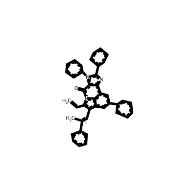 C=Cc1c(/C=C(\C)c2ccccc2)c2cc(-c3ccccc3)cc3c4nc(-c5ccccc5)n(-c5ccccc5)c4c(=O)n1c23